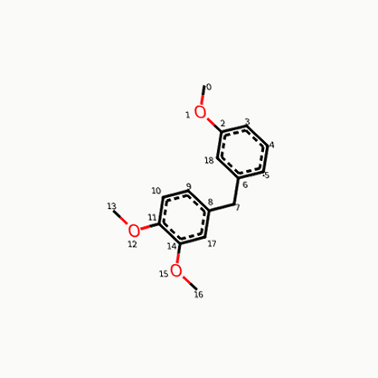 COc1cc[c]c(Cc2ccc(OC)c(OC)c2)c1